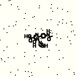 CC(=O)Nc1ccc(-c2ncc(C(=O)O)c(O)n2)cc1.c1c[nH]cn1